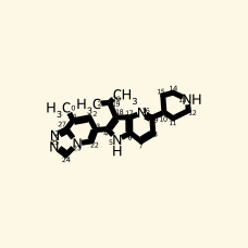 Cc1cc(-c2[nH]c3ccc(C4CCNCC4)nc3c2C(C)C)cn2cnnc12